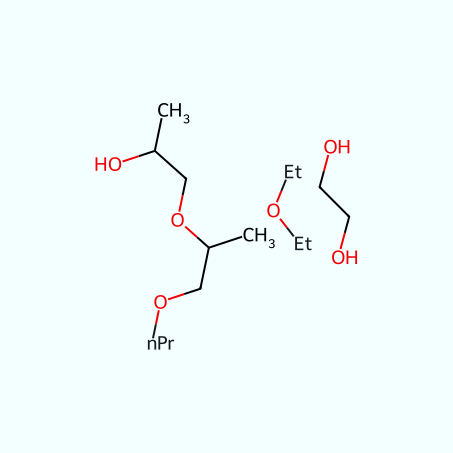 CCCOCC(C)OCC(C)O.CCOCC.OCCO